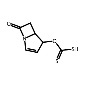 O=C1CC2C(OC(=S)S)C=CN12